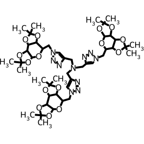 CC1(C)OC2OC(Cn3cc(CN(Cc4cn(CC5OC6OC(C)(C)OC6C6OC(C)(C)OC56)nn4)Cc4cn(CC5OC6OC(C)(C)OC6C6OC(C)(C)OC56)nn4)nn3)C3OC(C)(C)OC3C2O1